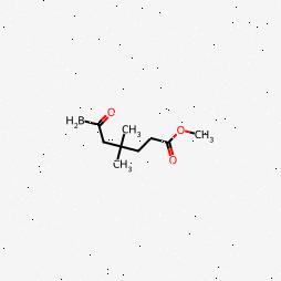 BC(=O)CC(C)(C)CCC(=O)OC